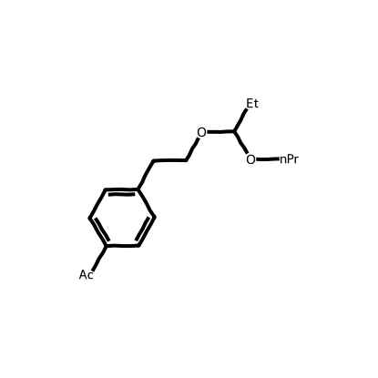 CCCOC(CC)OCCc1ccc(C(C)=O)cc1